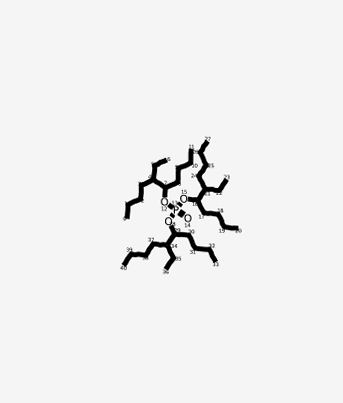 CCCCC(CC)C(CCCC)OP(=O)(OC(CCCC)C(CC)CCCC)OC(CCCC)C(CC)CCCC